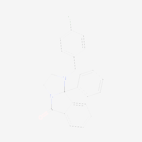 O=C1c2ccccc2C2(c3ccccc3)N(Cc3ccc(Cl)cc3)CCN12